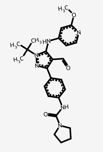 COc1cc(Nc2c(C=O)c(-c3ccc(NC(=O)N4CCCC4)cc3)nn2C(C)(C)C)ccn1